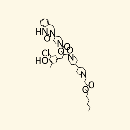 CCCCCCOC(=O)CCN1CCC(C2CCN(C(=O)[C@@H](Cc3cc(C)c(O)c(Cl)c3)OC(=O)N3CCC(N4CCc5ccccc5NC4=O)CC3)CC2)CC1